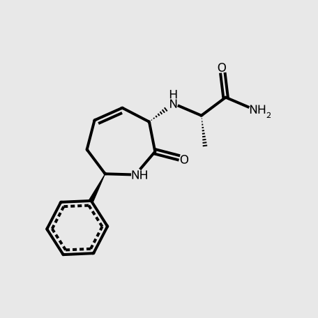 C[C@H](N[C@H]1C=CC[C@H](c2ccccc2)NC1=O)C(N)=O